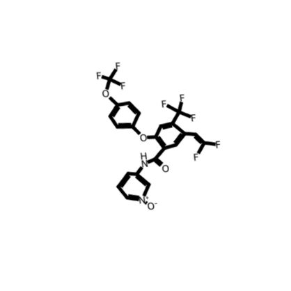 O=C(Nc1ccc[n+]([O-])c1)c1cc(C=C(F)F)c(C(F)(F)F)cc1Oc1ccc(OC(F)(F)F)cc1